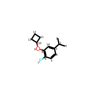 CC(C)c1ccc(F)c(OC2CCC2)c1